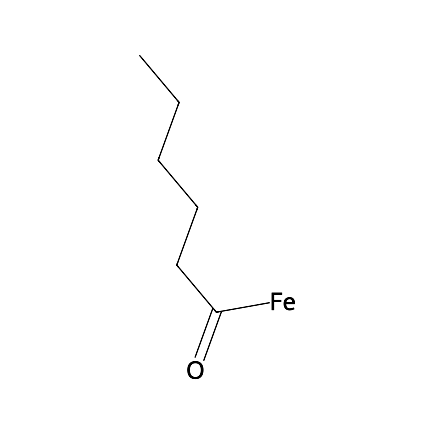 CCCCC[C](=O)[Fe]